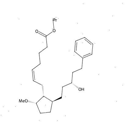 CO[C@H]1CC[C@H](CC[C@@H](O)CCc2ccccc2)[C@H]1C/C=C\CCCC(=O)OC(C)C